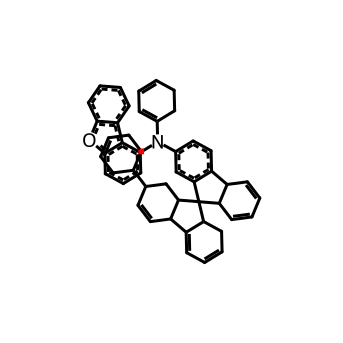 C1=CCCC(N(c2ccc3c(c2)C2(C4CC=CC=C4C4C=CC(C5CC=CCC5)CC42)C2C=CC=CC32)c2cccc3oc4ccccc4c23)=C1